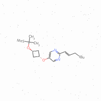 CSC(C)(C)O[C@H]1C[C@H](Oc2cnc(/C=C/CC(C)(C)C)nc2)C1